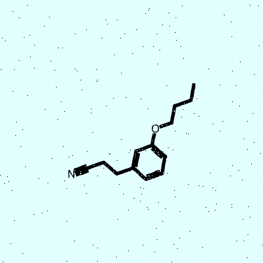 CCCCOc1cccc(CCC#N)c1